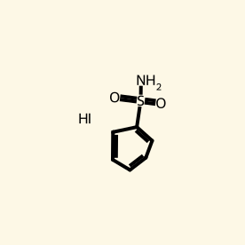 I.NS(=O)(=O)c1ccccc1